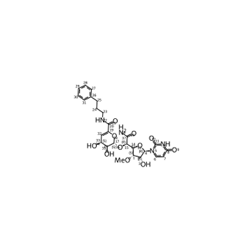 CO[C@H]1[C@@H](O)[C@H](n2ccc(=O)[nH]c2=O)O[C@@H]1[C@@H](O[C@H]1OC(C(=O)NCCCc2ccccc2)=C[C@H](O)[C@@H]1O)C(N)=O